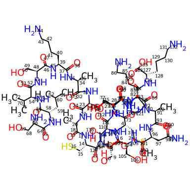 CSCC[C@H](NC(=O)[C@H](CO)NC(=O)[C@H](CS)NC(=O)[C@H](C)NC(=O)[C@H](CCCCN)NC(=O)[C@H](C)NC(=O)[C@H](CCCCN)NC(=O)[C@H](CO)NC(=O)[C@@H](NC(=O)[C@H](CC(C)C)NC(=O)[C@@H](N)CO)C(C)C)C(=O)N[C@@H](CO)C(=O)N[C@@H](CCCCN)C(=O)N[C@@H](C)C(=O)N[C@@H](CC(N)=O)C(=O)N[C@@H](CO)C(=O)N[C@H](C(=O)N[C@@H](CO)C(=O)N1CCC[C@H]1C(=O)N[C@@H](CCCCN)C(=O)O)[C@@H](C)O